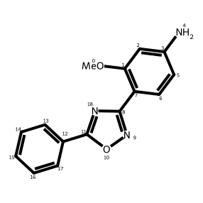 COc1cc(N)ccc1-c1noc(-c2ccccc2)n1